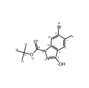 Cc1cc2c(O)nn(C(=O)OC(C)(C)C)c2cc1Br